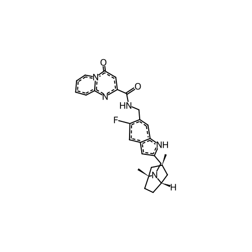 C[C@H]1C[C@@H]2CC[C@](C)(C1)N2Cc1cc2cc(F)c(CNC(=O)c3cc(=O)n4ccccc4n3)cc2[nH]1